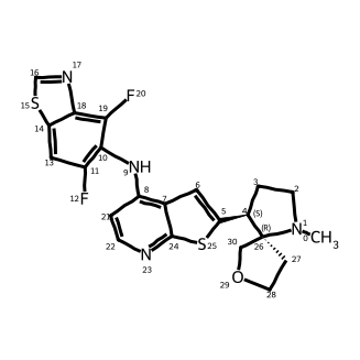 CN1CC[C@H](c2cc3c(Nc4c(F)cc5scnc5c4F)ccnc3s2)[C@@]12CCOC2